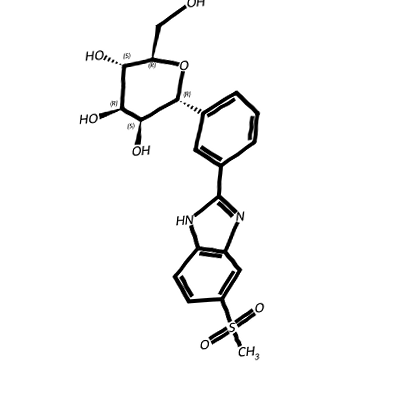 CS(=O)(=O)c1ccc2[nH]c(-c3cccc([C@H]4O[C@H](CO)[C@@H](O)[C@H](O)[C@@H]4O)c3)nc2c1